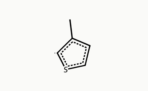 Cc1[c]scc1